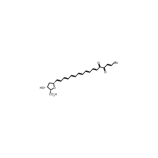 CCC(C)/C=C/C(=O)C(=O)/C=C/C=C/C=C/C=C/C=C/C=C/[C@@H]1C[C@@H](O)[C@H](C(=O)O)O1